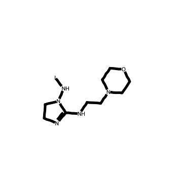 INN1CCN=C1NCCN1CCOCC1